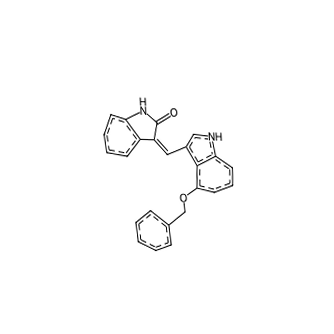 O=C1Nc2ccccc2C1=Cc1c[nH]c2cccc(OCc3ccccc3)c12